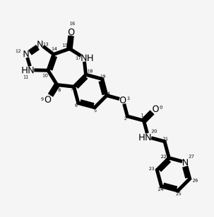 O=C(COc1ccc2c(=O)c3[nH]nnc3c(=O)[nH]c2c1)NCc1ccccn1